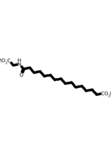 O=C(O)CCCCCCCCCCCCCCC(=O)NCC(=O)O